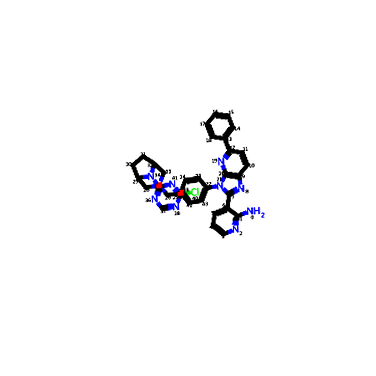 Nc1ncccc1-c1nc2ccc(-c3ccccc3)nc2n1-c1ccc(CN2CC3CCC(C2)N3c2ncnc(Cl)n2)cc1